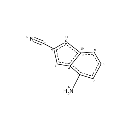 N#Cc1cc2c(N)cccc2s1